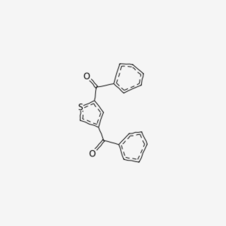 O=C(c1ccccc1)c1csc(C(=O)c2ccccc2)c1